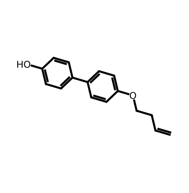 C=CCCOc1ccc(-c2ccc(O)cc2)cc1